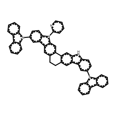 c1ccc(-n2c3ccc(-n4c5ccccc5c5ccccc54)cc3c3cc4c(cc32)-c2cc3[nH]c5ccc(-n6c7ccccc7c7ccccc76)cc5c3cc2CC4)nc1